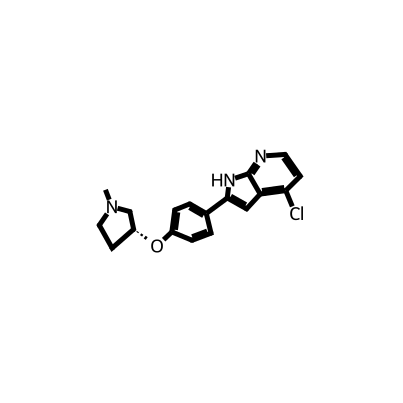 CN1CC[C@@H](Oc2ccc(-c3cc4c(Cl)ccnc4[nH]3)cc2)C1